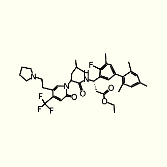 CCOC(=O)C[C@H](NC(=O)C(CC(C)C)n1cc(CCN2CCCC2)c(C(F)(F)F)cc1=O)c1cc(-c2c(C)cc(C)cc2C)cc(C)c1F